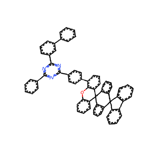 c1ccc(-c2cccc(-c3nc(-c4ccccc4)nc(-c4ccc(-c5cccc6c5Oc5ccccc5C65c6ccccc6C6(c7ccccc7-c7ccccc76)c6ccccc65)cc4)n3)c2)cc1